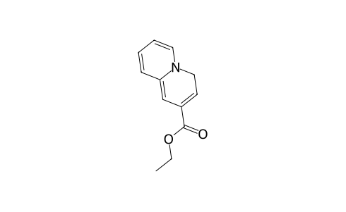 CCOC(=O)C1=CCN2C=CC=CC2=C1